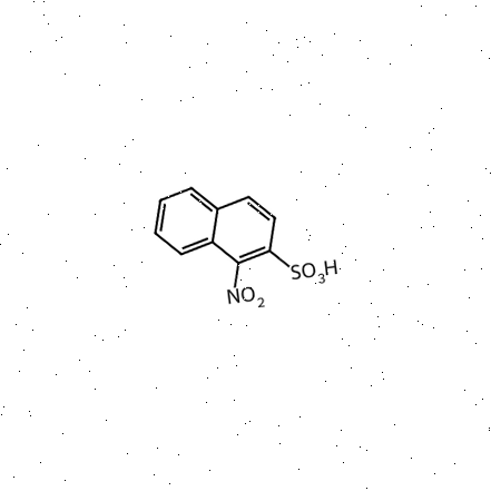 O=[N+]([O-])c1c(S(=O)(=O)O)ccc2ccccc12